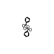 O=C(OS(=O)(=O)c1ccccc1)c1ccccc1